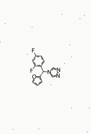 Fc1ccc(C(c2ccco2)n2cnnc2)c(F)c1